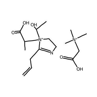 C=CCC1=NCC[N+]1(C(C)O)C(C)C(=O)O.C[N+](C)(C)CC(=O)O